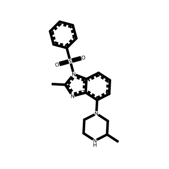 Cc1nc2c(N3CCNC(C)C3)cccc2n1S(=O)(=O)c1ccccc1